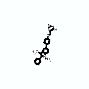 Cc1c(-c2ccccc2)n(C)c2ccc(-c3ccc(OCc4nnn[nH]4)cc3)cc12